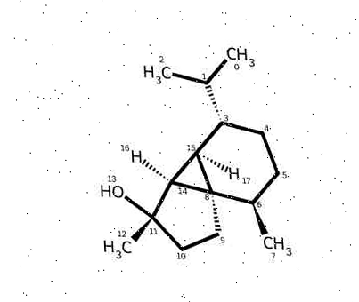 CC(C)[C@@H]1CC[C@@H](C)[C@@]23CC[C@](C)(O)[C@H]2[C@@H]13